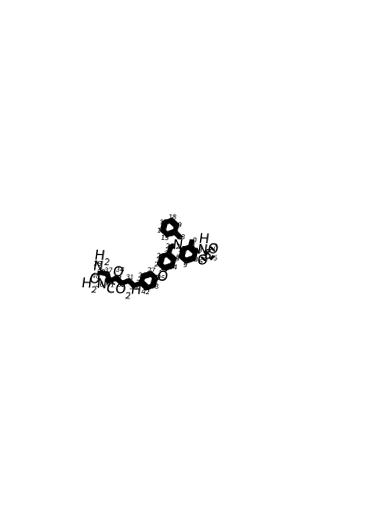 Cc1c(NS(C)(=O)=O)cccc1N(Cc1ccccc1)Cc1ccc(Oc2ccc(CCCC(=O)[C@](N)(CC(N)=O)C(=O)O)cc2)cc1